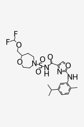 Cc1ccc(C(C)C)cc1Nc1nc(C(=O)NS(=O)(=O)N2CCOC(COC(F)F)CC2)co1